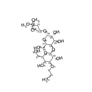 C=CCO[C@H]1[C@@H](O)[C@@H](CO)O[C@@H](O[C@@H]2[C@H](O)[C@@H](O)[C@@H](OCC[Si](C)(C)C)O[C@@H]2CO)[C@@H]1O